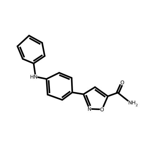 NC(=O)c1cc(-c2ccc(Nc3ccccc3)cc2)no1